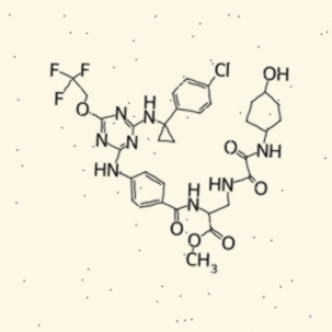 COC(=O)C(CNC(=O)C(=O)NC1CCC(O)CC1)NC(=O)c1ccc(Nc2nc(NC3(c4ccc(Cl)cc4)CC3)nc(OCC(F)(F)F)n2)cc1